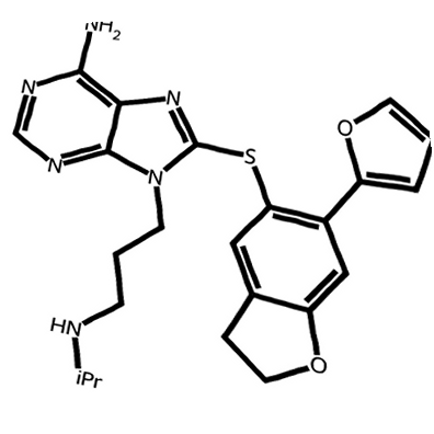 CC(C)NCCCn1c(Sc2cc3c(cc2-c2ccco2)OCC3)nc2c(N)ncnc21